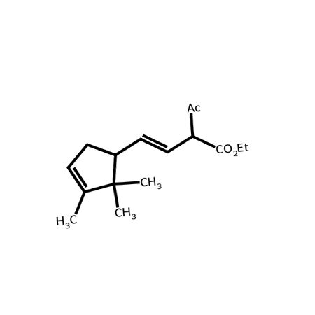 CCOC(=O)C(C=CC1CC=C(C)C1(C)C)C(C)=O